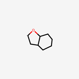 [CH]1CC2CCCCC2O1